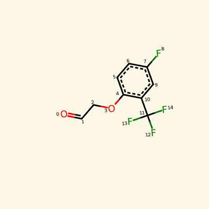 O=CCOc1ccc(F)cc1C(F)(F)F